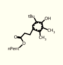 CCCCCOC(=O)CCc1cc(C(C)(C)C)c(O)c(C)c1C